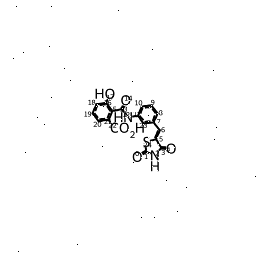 O=C1NC(=O)C(=Cc2cccc(NC(=O)c3c(O)cccc3C(=O)O)c2)S1